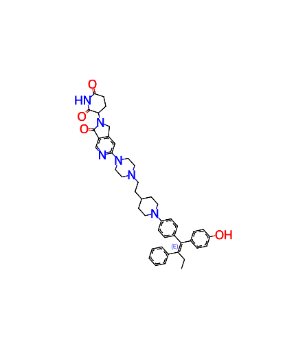 CC/C(=C(\c1ccc(O)cc1)c1ccc(N2CCC(CCN3CCN(c4cc5c(cn4)C(=O)N(C4CCC(=O)NC4=O)C5)CC3)CC2)cc1)c1ccccc1